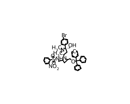 CN(C)[C@](CO)(CCN1C(CNS(=O)(=O)c2ccccc2[N+](=O)[O-])CC1COC(c1ccccc1)(c1ccccc1)c1ccccc1)c1ccc(Br)cc1